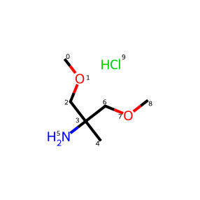 COCC(C)(N)COC.Cl